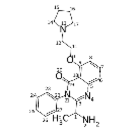 CC(N)c1nc2cccc(OCCN3CCCC3)c2c(=O)n1-c1ccccc1